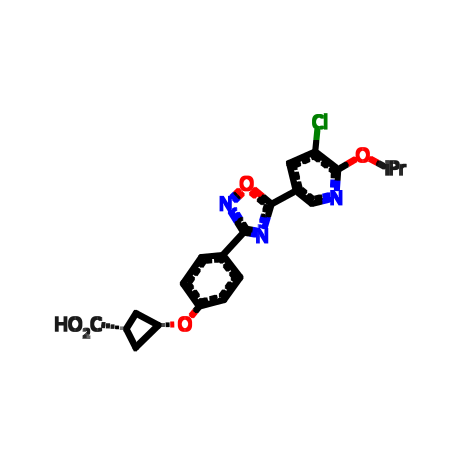 CC(C)Oc1ncc(-c2nc(-c3ccc(O[C@H]4C[C@@H](C(=O)O)C4)cc3)no2)cc1Cl